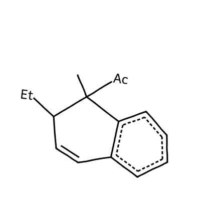 CCC1C=Cc2ccccc2C1(C)C(C)=O